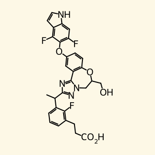 CC(c1nc2n(n1)CC(CO)Oc1ccc(Oc3c(F)cc4[nH]ccc4c3F)cc1-2)c1cccc(CCC(=O)O)c1F